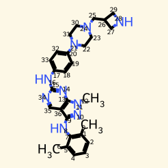 Cc1cccc(C)c1Nc1nn(C)c2nc(Nc3ccc(N4CCN(CC5CNC5)CC4)cc3)ncc12